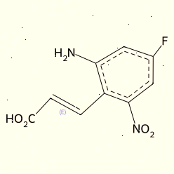 Nc1cc(F)cc([N+](=O)[O-])c1/C=C/C(=O)O